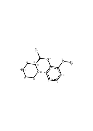 CCOc1ncccc1OC(CC)[C@@H]1CNCCO1